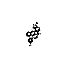 CCn1ncc2c(N[C@H](C)C3CCCCC3)c(C(=O)N3CCN(c4cccc(OC)c4)CC3)cnc21